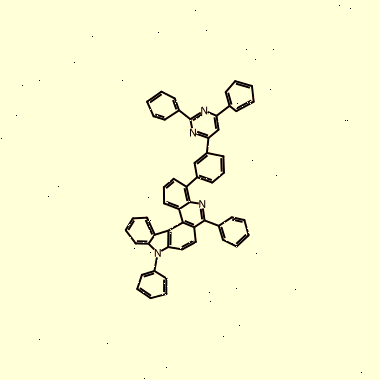 c1ccc(-c2cc(-c3cccc(-c4cccc5c4nc(-c4ccccc4)c4ccc6c(c7ccccc7n6-c6ccccc6)c45)c3)nc(-c3ccccc3)n2)cc1